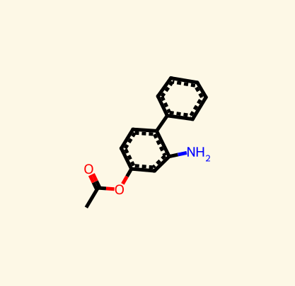 CC(=O)Oc1ccc(-c2ccccc2)c(N)c1